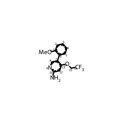 COc1ccccc1-c1cnc(N)cc1OCC(F)(F)F